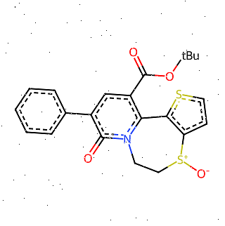 CC(C)(C)OC(=O)c1cc(-c2ccccc2)c(=O)n2c1-c1sccc1[S+]([O-])CC2